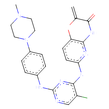 C=C1Oc2ccc(Nc3nc(Nc4ccc(N5CCN(C)CC5)cc4)ncc3F)nc2NC1=O